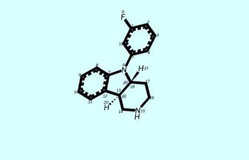 Fc1cccc(N2c3ccccc3[C@@H]3CNCC[C@H]32)c1